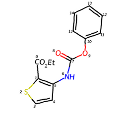 CCOC(=O)c1sccc1NC(=O)Oc1ccccc1